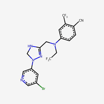 N#Cc1ccc(N(CC2=NN(c3cncc(Br)c3)CN2)CC(F)(F)F)cc1C(F)(F)F